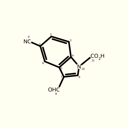 N#Cc1ccc2c(c1)c(C=O)cn2C(=O)O